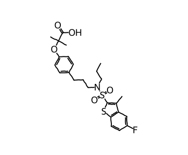 CCCN(CCCc1ccc(OC(C)(C)C(=O)O)cc1)S(=O)(=O)c1sc2ccc(F)cc2c1C